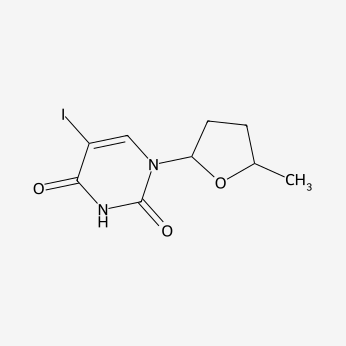 CC1CCC(n2cc(I)c(=O)[nH]c2=O)O1